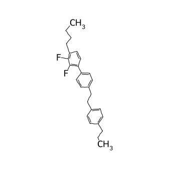 CCCCc1ccc(-c2ccc(CCc3ccc(CCC)cc3)cc2)c(F)c1F